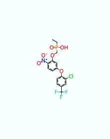 CCP(=O)(O)COc1cc(Oc2ccc(C(F)(F)F)cc2Cl)ccc1[N+](=O)[O-]